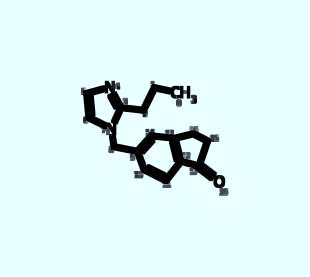 CCCc1nccn1Cc1ccc2c(c1)CCC2=O